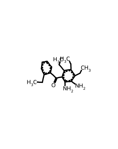 CCc1ccccc1C(=O)c1c(N)c(N)c(CC)c(CC)c1CC